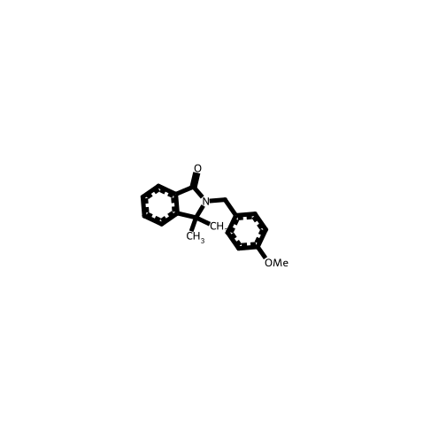 COc1ccc(CN2C(=O)c3ccccc3C2(C)C)cc1